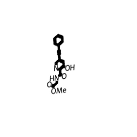 COC(=O)CNC(=O)c1ncc(C#Cc2ccccc2)cc1O